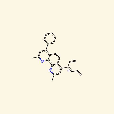 C=C/C=C(\C=C)c1cc(C)nc2c1ccc1c(-c3ccccc3)cc(C)nc12